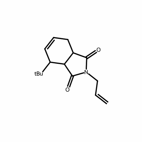 C=CCN1C(=O)C2CC=CC(C(C)(C)C)C2C1=O